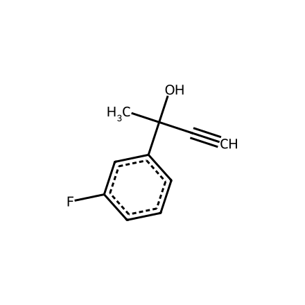 C#CC(C)(O)c1cccc(F)c1